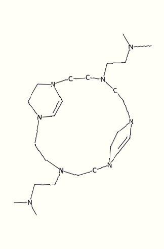 CN(C)CCN1CCN2C=CN(CC2)CCN(CCN(C)C)CCN2C=CN(CC2)CC1